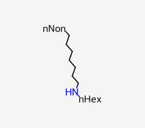 CCCC[CH]CNCCCCCCCCCCCCCCCC